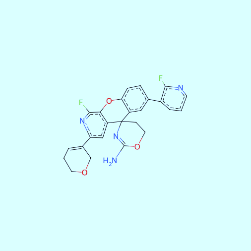 NC1=NC2(CCO1)c1cc(-c3cccnc3F)ccc1Oc1c2cc(C2=CCCOC2)nc1F